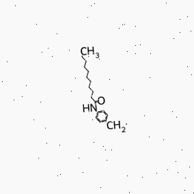 [CH2]c1ccc(NC(=O)CCCCCCCCCC)cc1